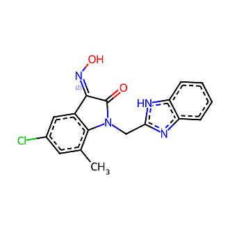 Cc1cc(Cl)cc2c1N(Cc1nc3ccccc3[nH]1)C(=O)/C2=N\O